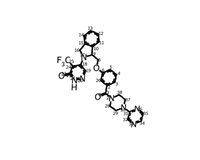 O=C(c1cccc(OCC2c3ccccc3CN2c2cn[nH]c(=O)c2C(F)(F)F)c1)N1CCN(c2cnccn2)CC1